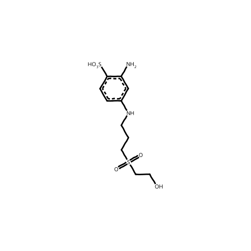 Nc1cc(NCCCS(=O)(=O)CCO)ccc1S(=O)(=O)O